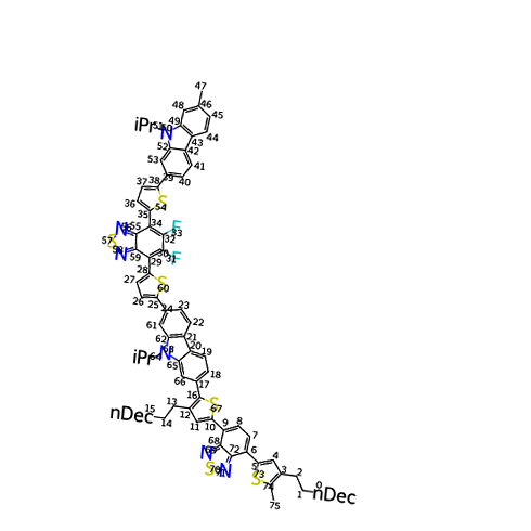 CCCCCCCCCCCCc1cc(-c2ccc(-c3cc(CCCCCCCCCCCC)c(-c4ccc5c6ccc(-c7ccc(-c8c(F)c(F)c(-c9ccc(-c%10ccc%11c%12ccc(C)cc%12n(C(C)C)c%11c%10)s9)c9nsnc89)s7)cc6n(C(C)C)c5c4)s3)c3nsnc23)sc1C